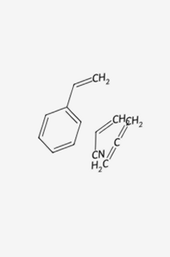 C=C=C.C=CC#N.C=Cc1ccccc1